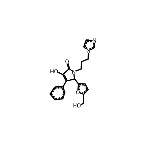 O=C1C(O)=C(c2ccccc2)C(c2ccc(CO)o2)N1CCCn1ccnc1